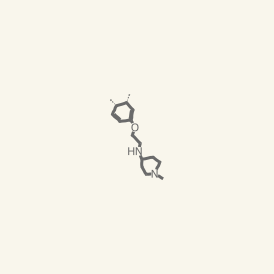 C[C@@H]1C=C(OCCNC2CCN(C)CC2)C=C[C@@H]1C